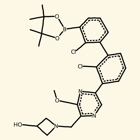 COc1nc(-c2cccc(-c3cccc(B4OC(C)(C)C(C)(C)O4)c3Cl)c2Cl)cnc1CN1CC(O)C1